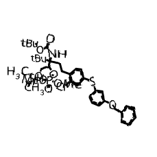 COP(=O)(OC)OC(CO[SiH](C)C)C(CCc1ccc(Sc2cccc(OCc3ccccc3)c2)cc1Cl)(NC(=O)OC(C)(C)C)C(C)(C)C